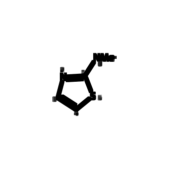 C[N]c1nccs1